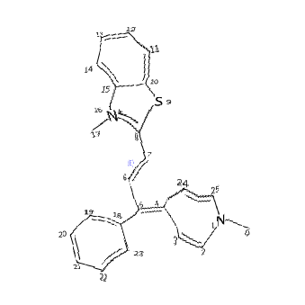 CN1C=CC(=C(/C=C/c2sc3ccccc3[n+]2C)c2ccccc2)C=C1